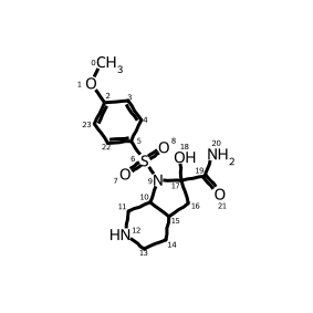 COc1ccc(S(=O)(=O)N2C3CNCCC3CC2(O)C(N)=O)cc1